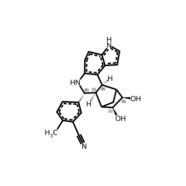 Cc1ccc([C@@H]2Nc3ccc4[nH]ccc4c3[C@H]3C4CC([C@@H]23)[C@H](O)[C@@H]4O)cc1C#N